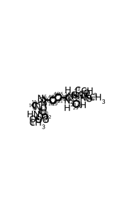 COC(=O)NC(C(=O)N1CCC[C@H]1c1ncc(-c2ccc3cc(-c4cnc([C@H]5CCCC[C@H]5C(=O)N(NC(=O)OC)C(C)C)[nH]4)ccc3c2)[nH]1)C1CCOC1